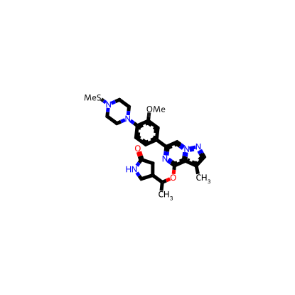 COc1cc(-c2cn3ncc(C)c3c(OC(C)C3CNC(=O)C3)n2)ccc1N1CCN(SC)CC1